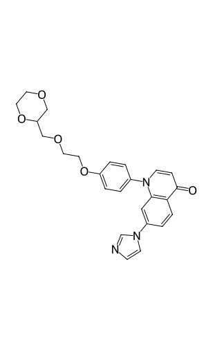 O=c1ccn(-c2ccc(OCCOCC3COCCO3)cc2)c2cc(-n3ccnc3)ccc12